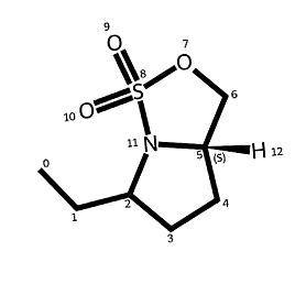 CCC1CC[C@H]2COS(=O)(=O)N12